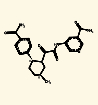 C[C@H]1CC[C@H](c2ccc(C(N)=O)cc2)N(C(=O)C(=O)Nc2cncc(C(N)=O)c2)C1